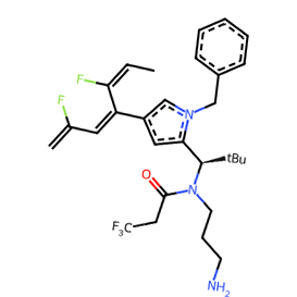 C=C(F)/C=C(\C(F)=C/C)c1cc([C@H](N(CCCN)C(=O)CC(F)(F)F)C(C)(C)C)n(Cc2ccccc2)c1